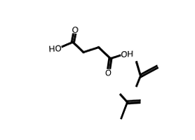 C=C(C)C.C=C(C)C.O=C(O)CCC(=O)O